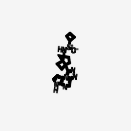 [O-][S+](NC12CCC3(c4nnc5cnc6[nH]ccc6n45)CCC13C2)C1CCC1